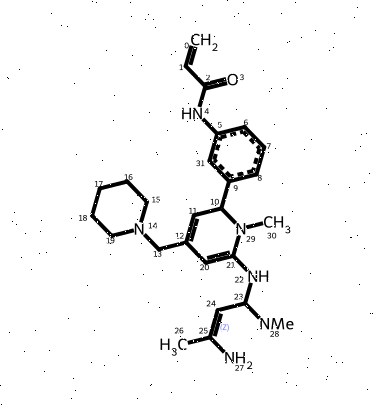 C=CC(=O)Nc1cccc(C2C=C(CN3CCCCC3)C=C(NC(/C=C(/C)N)NC)N2C)c1